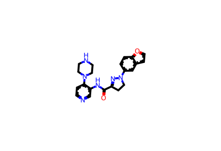 O=C(Nc1cnccc1N1CCNCC1)C1=NN(c2ccc3occc3c2)CC1